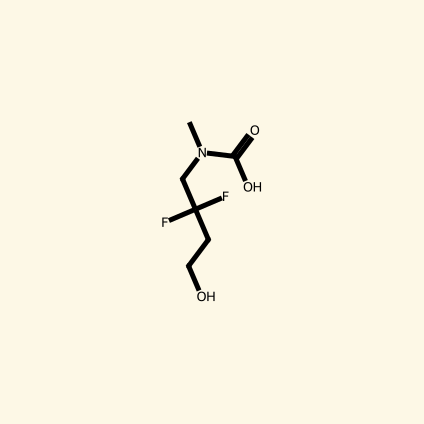 CN(CC(F)(F)CCO)C(=O)O